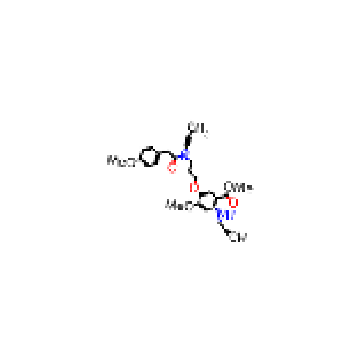 C#CCNc1cc(OC)c(OCCCN(C#CC)C(=O)Cc2ccc(OC)cc2)cc1C(=O)OC